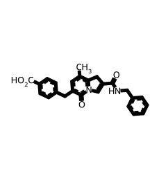 Cc1cc(Cc2ccc(C(=O)O)cc2)c(=O)n2c1CC(C(=O)NCc1ccccc1)=C2